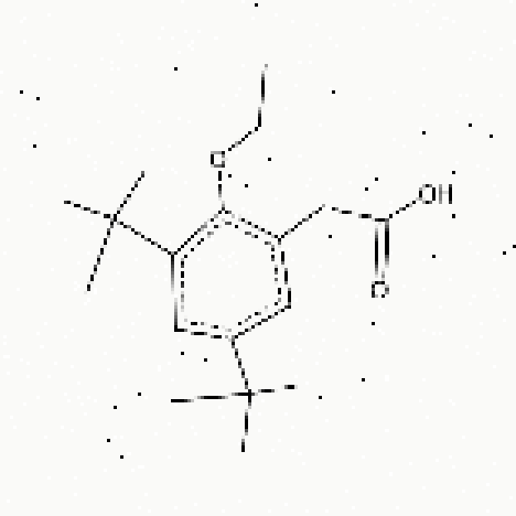 CCOc1c(CC(=O)O)cc(C(C)(C)C)cc1C(C)(C)C